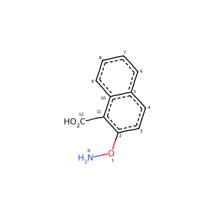 NOc1ccc2ccccc2c1C(=O)O